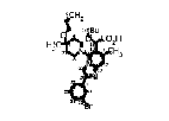 C=CCOC1(C)CCN(c2c(C(OC(C)(C)C)C(=O)O)c(C)cc3nc(-c4cccc(Br)c4)cn23)CC1